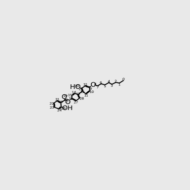 CCCCCCCCOc1ccc(-c2ccc(OC(=O)c3ccccc3O)cc2)c(O)c1